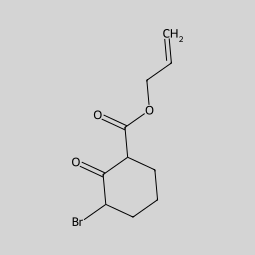 C=CCOC(=O)C1CCCC(Br)C1=O